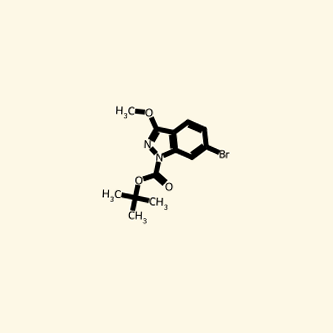 COc1nn(C(=O)OC(C)(C)C)c2cc(Br)ccc12